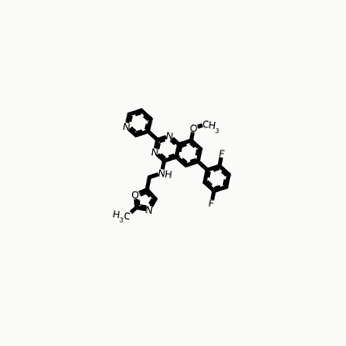 COc1cc(-c2cc(F)ccc2F)cc2c(NCc3cnc(C)o3)nc(-c3cccnc3)nc12